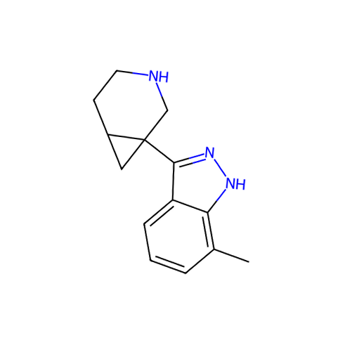 Cc1cccc2c(C34CNCCC3C4)n[nH]c12